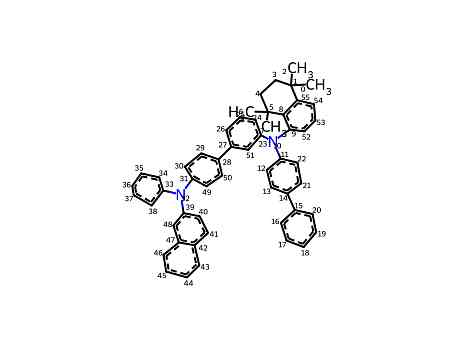 CC1(C)CCC(C)(C)c2c(N(c3ccc(-c4ccccc4)cc3)c3cccc(-c4ccc(N(c5ccccc5)c5ccc6ccccc6c5)cc4)c3)cccc21